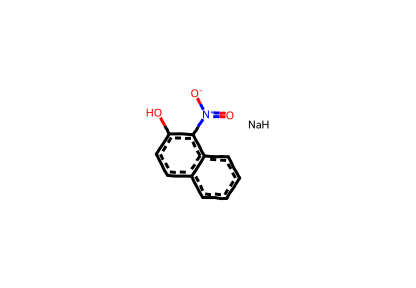 O=[N+]([O-])c1c(O)ccc2ccccc12.[NaH]